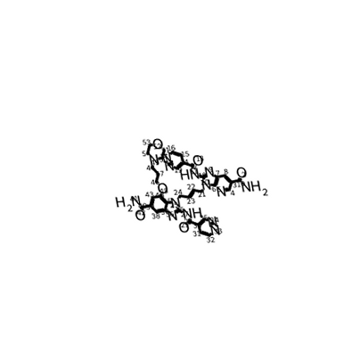 NC(=O)c1cnc2c(c1)nc(NC(=O)c1ccnnc1)n2CC=CCn1c(NC(=O)c2ccnnc2)nc2cc(C(N)=O)cc(OCCCN3CCOCC3)c21